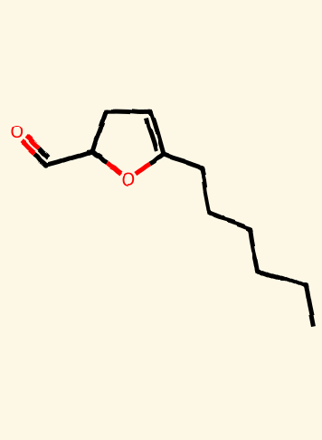 CCCCCCC1=CCC(C=O)O1